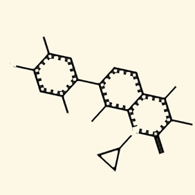 Cc1c(O)c2ccc(-c3cc(F)c(N)cc3F)c(C)c2n(C2CC2)c1=O